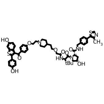 Cc1ncsc1-c1ccc(CNC(=O)[C@@H]2C[C@@H](O)CN2C(=O)C(NC(=O)COCCC2CCN(CCOc3ccc(C(=O)c4c(-c5ccc(O)cc5)sc5cc(O)ccc45)cc3)CC2)C(C)(C)C)cc1